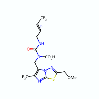 COCc1nn2c(CN(C(=O)O)C(=O)NC/C=C/C(F)(F)F)c(C(F)(F)F)nc2s1